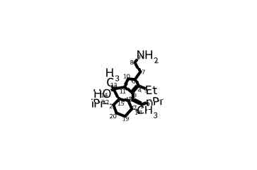 CCC/C=C\C1=C(CC)C(CCN)CC1C(C)(O)C1C[C@H](C)CC[C@@H]1C(C)C